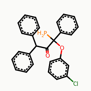 O=C(C(c1ccccc1)c1ccccc1)C(P)(Oc1cccc(Cl)c1)c1ccccc1